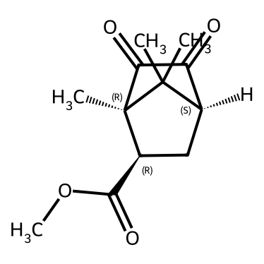 COC(=O)[C@@H]1C[C@@H]2C(=O)C(=O)[C@@]1(C)C2(C)C